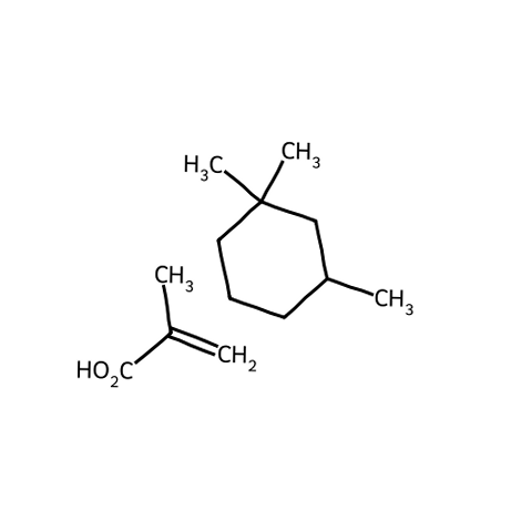 C=C(C)C(=O)O.CC1CCCC(C)(C)C1